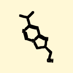 CC(C)C1=CC2=N[C@@H](CO)CN2C=N1